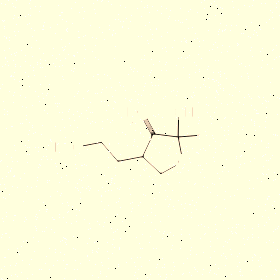 C=C1C(CCC)COC1(C)C